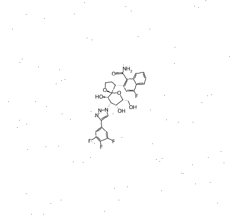 NC(=O)c1c([C@H]2CCO[C@]23O[C@H](CO)[C@H](O)[C@H](n2cc(-c4cc(F)c(F)c(F)c4)nn2)[C@H]3O)cc(F)c2ccccc12